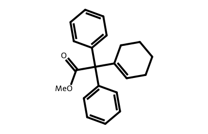 COC(=O)C(C1=CCCCC1)(c1ccccc1)c1ccccc1